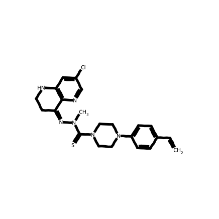 C=Cc1ccc(N2CCN(C(=S)N(C)/N=C3/CCNc4cc(Cl)cnc43)CC2)cc1